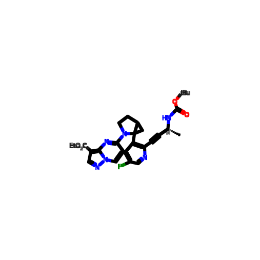 CCOC(=O)c1cnn2ccc(N3CCC4CC43c3cc(F)cnc3C#C[C@@H](C)NC(=O)OC(C)(C)C)nc12